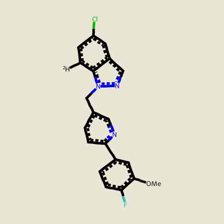 [2H]c1cc(Cl)cc2cnn(Cc3ccc(-c4ccc(F)c(OC)c4)nc3)c12